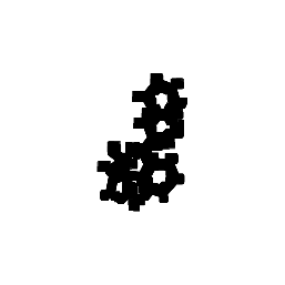 CCC1(OC)c2c(F)cccc2C(c2cnc3ccccc3c2)=NC1(C)C